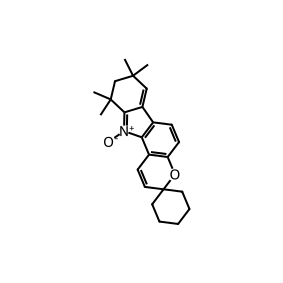 CC1(C)C=C2C(=[N+]([O-])c3c2ccc2c3C=CC3(CCCCC3)O2)C(C)(C)C1